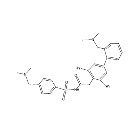 CC(C)c1cc(-c2ccccc2CN(C)C)cc(C(C)C)c1CC(=O)NS(=O)(=O)c1ccc(CN(C)C)cc1